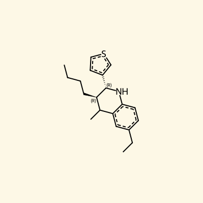 CCCC[C@@H]1C(C)c2cc(CC)ccc2N[C@H]1c1ccsc1